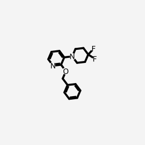 FC1(F)CCN(c2cccnc2OCc2ccccc2)CC1